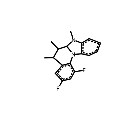 CC1c2cc(F)cc(F)c2N2c3ccccc3N(C)C2C1C